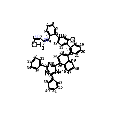 C/C=C\C=C/c1ccccc1-c1ccc2c(c1)oc1cccc(-c3ccc(-c4nc(-c5ccccc5)nc(-c5ccccc5)n4)c4ccccc34)c12